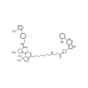 Cc1ncsc1-c1ccc(CNC(=O)[C@@H]2C[C@@H](O)CN2C(=O)[C@@H](NC(=O)CCCCCCCNCCC(=O)N2CC(c3c[nH]c4nnc(-c5ccccc5O)cc34)C2)C(C)(C)C)cc1